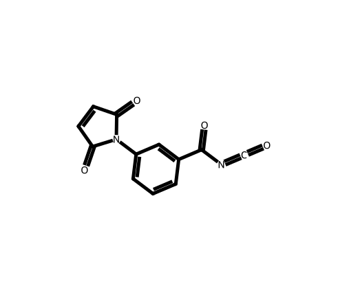 O=C=NC(=O)c1cccc(N2C(=O)C=CC2=O)c1